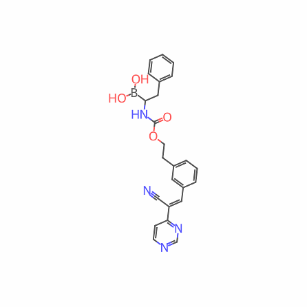 N#CC(=Cc1cccc(CCOC(=O)NC(Cc2ccccc2)B(O)O)c1)c1ccncn1